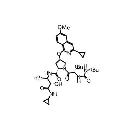 CCCC(NC(=O)[C@@H]1C[C@@H](Oc2nc(C3CC3)cc3cc(OC)ccc23)CN1C(=O)[C@@H](NC(=O)NC(C)(C)C)C(C)(C)C)[C@H](O)C(=O)NC1CC1